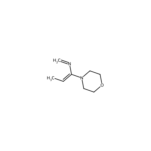 C=N/C(=C\C)N1CCOCC1